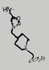 CCOC(=O)CN1CCC(C[n+]2cc([NH-])on2)CC1